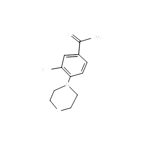 COC(=O)c1ccc(N2CCOCC2)c(C)c1